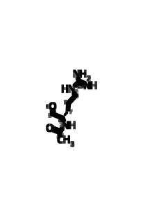 CC(=O)N[C@H](C=O)CCCNC(=N)N